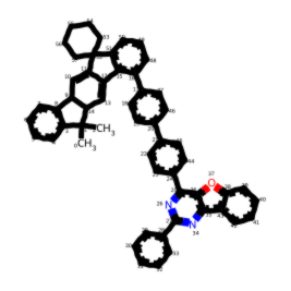 CC1(C)c2ccccc2C2C=C3C(=CC21)c1c(-c2ccc(-c4ccc(-c5nc(-c6ccccc6)nc6c5oc5ccccc56)cc4)cc2)cccc1C31CCCCC1